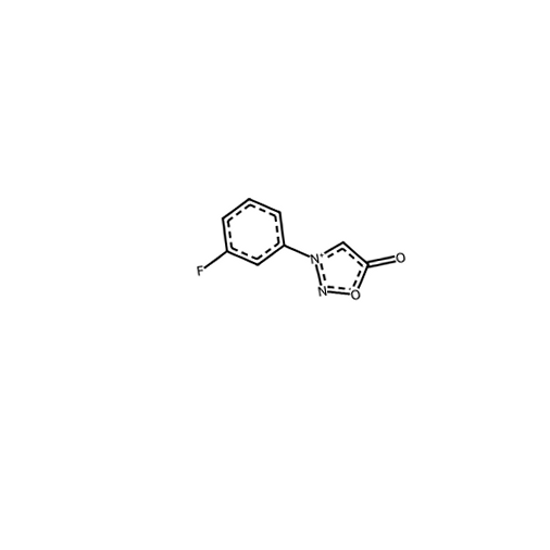 O=c1c[n+](-c2cccc(F)c2)[n-]o1